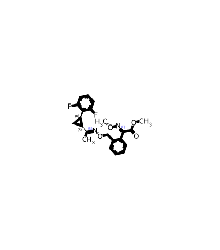 CO/N=C(/C(=O)OC)c1ccccc1CO/N=C(\C)[C@@H]1C[C@H]1c1c(F)cccc1F